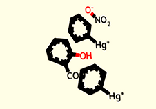 O=C([O-])c1ccccc1O.O=[N+]([O-])[O-].[Hg+][c]1ccccc1.[Hg+][c]1ccccc1